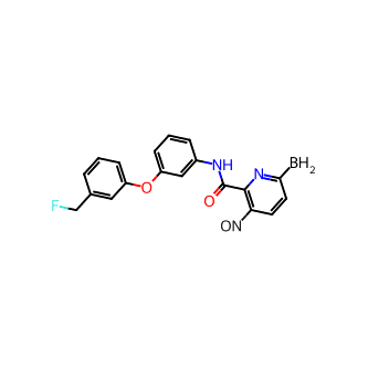 Bc1ccc(N=O)c(C(=O)Nc2cccc(Oc3cccc(CF)c3)c2)n1